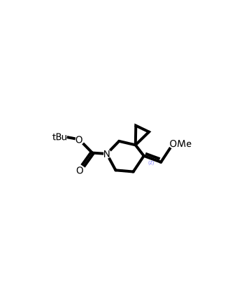 CO/C=C1/CCN(C(=O)OC(C)(C)C)CC12CC2